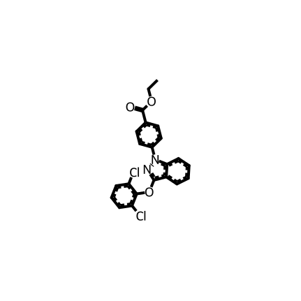 CCOC(=O)c1ccc(-n2nc(Oc3c(Cl)cccc3Cl)c3ccccc32)cc1